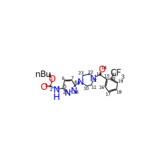 CCCCOC(=O)Nc1ccc(N2CCN(C(=O)c3ccccc3C(F)(F)F)CC2)nn1